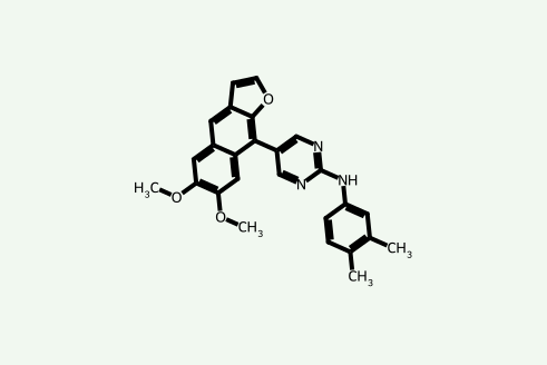 COc1cc2cc3ccoc3c(-c3cnc(Nc4ccc(C)c(C)c4)nc3)c2cc1OC